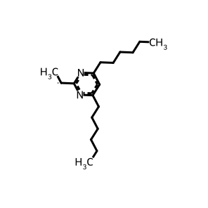 C[CH]c1nc(CCCCCC)cc(CCCCCC)n1